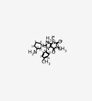 Cc1ccc(-n2c(N3CCCC(N)C3)nc3c2c(=O)n(C)c(=O)n3C)cc1